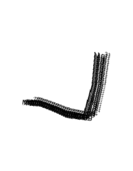 [Mg+2].[Mg+2].[Mg+2].[Mg+2].[Mg+2].[Mg+2].[Mg+2].[Mg+2].[Mg+2].[Mg+2].[Mg+2].[Mg+2].[Mg+2].[Mg+2].[Mg+2].[Mg+2].[Mg+2].[Mg+2].[Mg+2].[Mg+2].[Mg+2].[Mg+2].[Mg+2].[Mg+2].[Mg+2].[Mg+2].[Mg+2].[Mg+2].[Mg+2].[Mg+2].[Mg+2].[Mg+2].[Mg+2].[Mg+2].[Mg+2].[Mg+2].[Mg+2].[Mg+2].[Mg+2].[Mg+2].[Mg+2].[Mg+2].[Mg+2].[Mg+2].[Mg+2].[Mg+2].[Mg+2].[Mg+2].[Mg+2].[Mg+2].[Mg+2].[Mg+2].[Mg+2].[Mg+2].[Mg+2].[Mg+2].[Mg+2].[Mg+2].[Mg+2].[Mg+2].[Mg+2].[Mg+2].[O-2].[O-2]